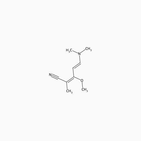 COC(/C=C/N(C)C)=C(\C)C#N